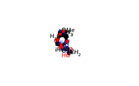 C=CC(=O)N(CCO)[C@H]1CCN(C(=O)N(C)[C@H](C(=O)N[C@H]2Cc3nnc(o3)-c3ccc4c(c3)c(c(-c3cccnc3[C@H](C)OC)n4CC(F)(F)F)CC(C)(C)COC(=O)[C@@H]3CCCN(N3)C2=O)C(C)C)C1